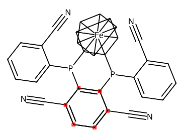 N#Cc1ccccc1P(c1ccccc1C#N)[C]12[CH]3[CH]4[CH]5[C]1(P(c1ccccc1C#N)c1ccccc1C#N)[Fe]43521678[CH]2[CH]1[CH]6[CH]7[CH]28